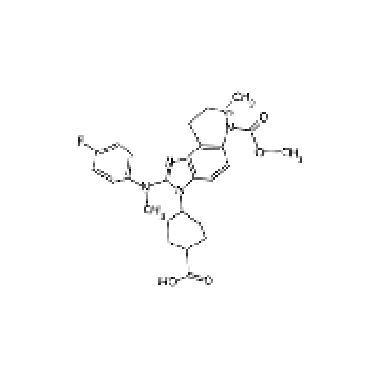 COC(=O)N1c2ccc3c(nc(N(C)c4ccc(F)cc4)n3C3CCC(C(=O)O)CC3)c2CC[C@@H]1C